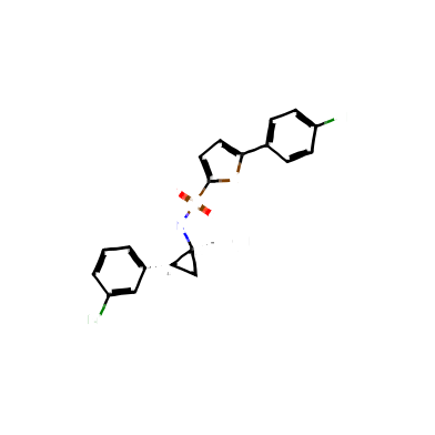 O=C(O)[C@]1(NS(=O)(=O)c2ccc(-c3ccc(Cl)cc3)s2)C[C@@H]1c1cccc(Br)c1